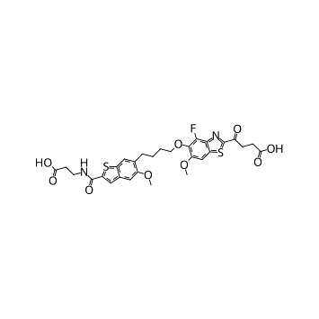 COc1cc2cc(C(=O)NCCC(=O)O)sc2cc1CCCCOc1c(OC)cc2sc(C(=O)CCC(=O)O)nc2c1F